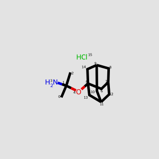 CC(C)(N)OC12CC3CC(CC(C3)C1)C2.Cl